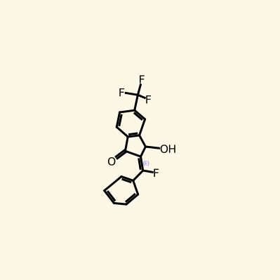 O=C1/C(=C(/F)c2ccccc2)C(O)c2cc(C(F)(F)F)ccc21